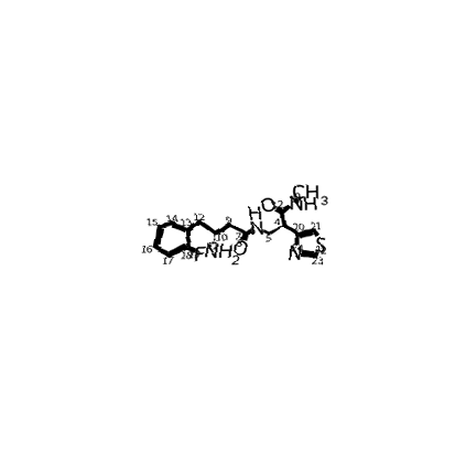 CNC(=O)[C@H](CNC(=O)C[C@H](N)Cc1ccccc1F)c1cscn1